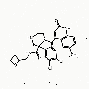 Cc1ccc2[nH]c(=O)cc(C(=O)N3CCNCC3(C(=O)NCC3CCO3)c3ccc(Cl)c(Cl)c3)c2c1